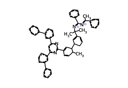 C/C(=N\C(=N/C(C)(C)C1=CC(C2C=C(c3nc(-c4cccc(-c5ccccc5)c4)cc(-c4cccc(-c5ccccc5)c4)n3)C=CC2C)CC=C1)c1ccccc1)c1ccccc1